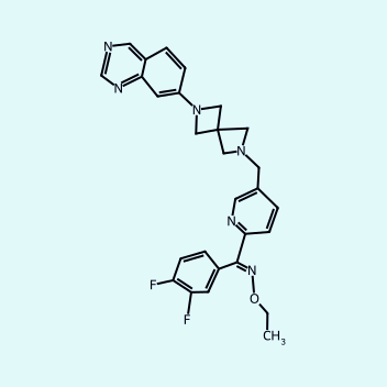 CCON=C(c1ccc(F)c(F)c1)c1ccc(CN2CC3(C2)CN(c2ccc4cncnc4c2)C3)cn1